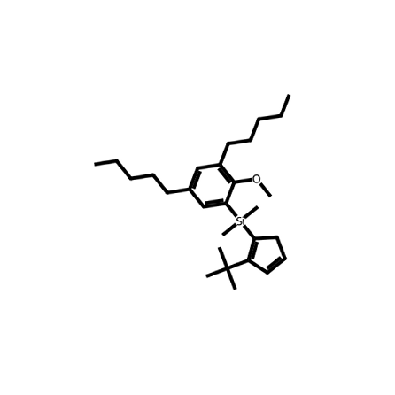 CCCCCc1cc(CCCCC)c(OC)c([Si](C)(C)C2=C(C(C)(C)C)C=CC2)c1